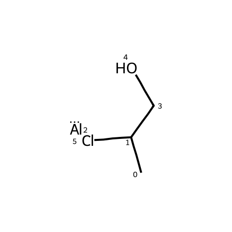 CC(Cl)CO.[Al]